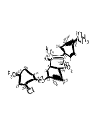 Cc1ccc(S(C)(N=O)C(=O)c2cc(Oc3ccc(C(F)(F)F)cc3Cl)ccc2[N+](=O)[O-])cc1